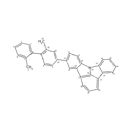 Cc1ccccc1-c1ccc(-c2ccc3c(c2)c2cccc4c5ccccc5n3c42)cc1C